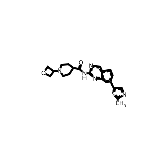 Cc1ncc(-c2ccc3cnc(NC(=O)C4CCN(C5COC5)CC4)nc3c2)s1